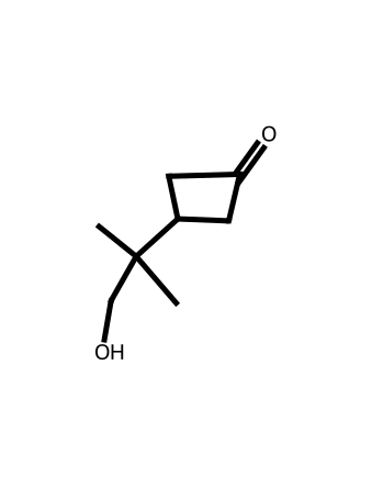 CC(C)(CO)C1CC(=O)C1